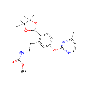 Cc1ccnc(Oc2ccc(B3OC(C)(C)C(C)(C)O3)c(CCNC(=O)OC(C)(C)C)c2)n1